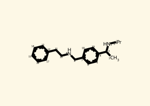 CC(C)NC(C)c1ccc(CNCCc2ccccc2)cc1